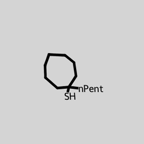 CCCCCC1(S)CCCCCCC1